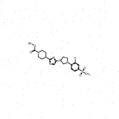 CC(C)OC(=O)N1CCC(c2nc([C@H]3CCN(c4ccc(S(C)(=O)=O)cc4F)C3)cs2)CC1